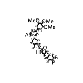 COc1cc(-c2cc(-c3ccc(C)c(OCC(=O)Nc4nc5cc(F)c(F)cc5s4)c3)n(C(C)=O)n2)cc(OC)c1OC